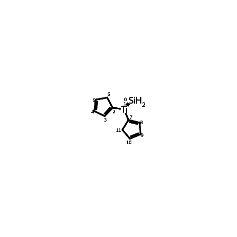 [SiH2]=[Ti]([C]1=CC=CC1)[C]1=CC=CC1